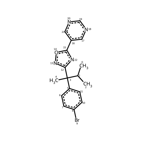 CC(C)C(C)(c1ccc(Br)cc1)c1noc(-c2cncnc2)n1